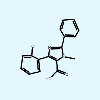 Cn1c(-c2ccccc2)nc(-c2ccccc2Cl)c1C(=O)O